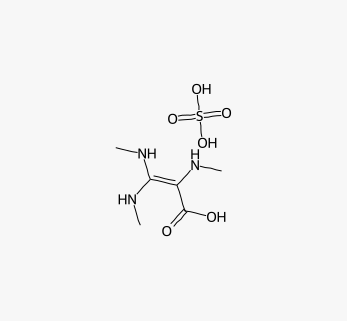 CNC(NC)=C(NC)C(=O)O.O=S(=O)(O)O